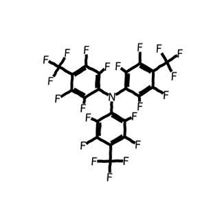 Fc1c(F)c(C(F)(F)F)c(F)c(F)c1N(c1c(F)c(F)c(C(F)(F)F)c(F)c1F)c1c(F)c(F)c(C(F)(F)F)c(F)c1F